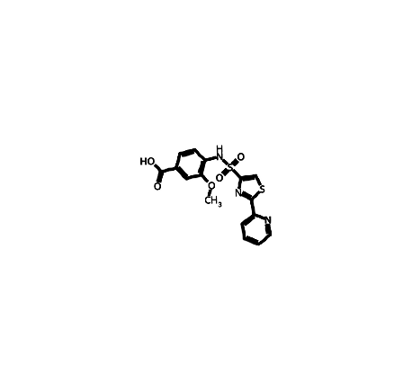 COc1cc(C(=O)O)ccc1NS(=O)(=O)c1csc(-c2ccccn2)n1